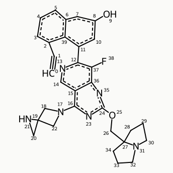 C#Cc1cccc2cc(O)cc(-c3ncc4c(N5CC6(CN6)C5)nc(OCC56CCCN5CCC6)nc4c3F)c12